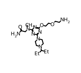 CCC(CC)N1CCN(c2nc(OCCOCCN)nc(N(C)CC(N)=O)n2)CC1